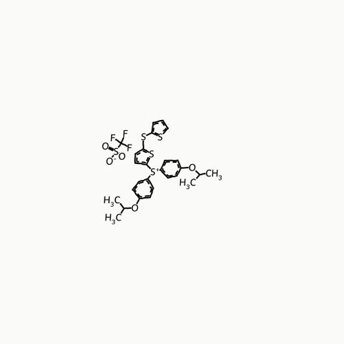 CC(C)Oc1ccc([S+](c2ccc(OC(C)C)cc2)c2ccc(Sc3cccs3)s2)cc1.O=S(=O)([O-])C(F)(F)F